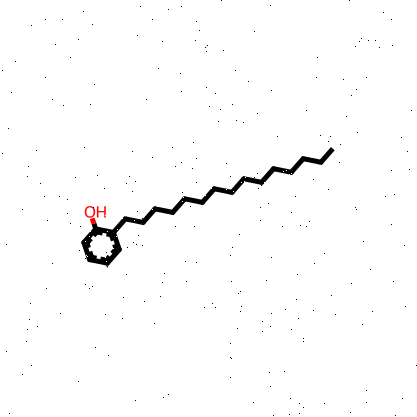 CCCCCCCCCCCCCCCc1c[c]ccc1O